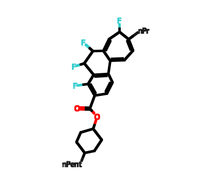 CCCCCC1CCC(OC(=O)c2ccc3c(c2F)C(F)C(F)C2=CC(F)C(CCC)=CC=C23)CC1